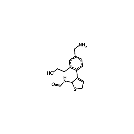 NCc1ccc(C2=CCSC2NC=O)c(CCO)c1